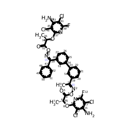 C/C(=N\OC(=O)[C@@H](C)Oc1nc(F)c(Cl)c(N)c1Cl)c1cccc(-c2cccc(/C(=N\OC(=O)[C@@H](C)Oc3nc(F)c(Cl)c(N)c3Cl)c3ccccc3)c2)c1